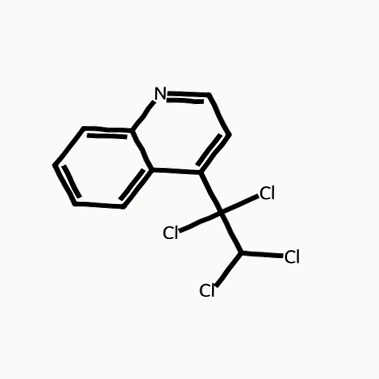 ClC(Cl)C(Cl)(Cl)c1ccnc2ccccc12